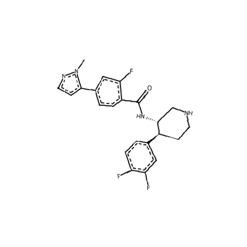 Cn1nccc1-c1ccc(C(=O)N[C@@H]2CNCC[C@H]2c2ccc(F)c(F)c2)c(F)c1